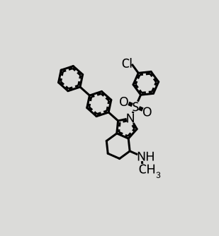 CNC1CCCc2c1cn(S(=O)(=O)c1cccc(Cl)c1)c2-c1ccc(-c2ccccc2)cc1